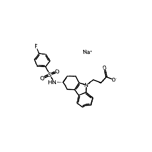 O=C([O-])CCn1c2c(c3ccccc31)C[C@H](NS(=O)(=O)c1ccc(F)cc1)CC2.[Na+]